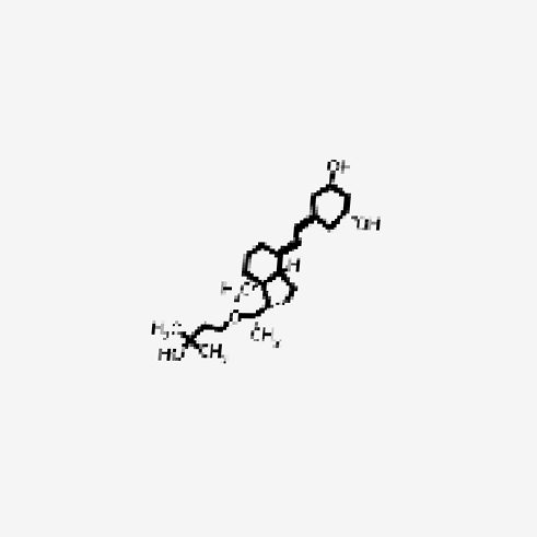 C[C@H](OCCC(C)(C)O)[C@H]1CC[C@H]2C(=CC=C3C[C@@H](O)C[C@H](O)C3)CCC[C@@]12C